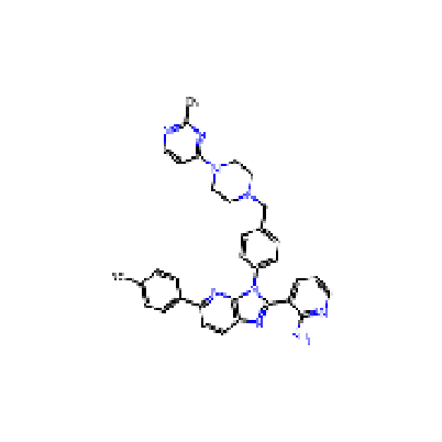 N#Cc1ccc(-c2ccc3nc(-c4cccnc4N)n(-c4ccc(CN5CCN(c6ccnc(C#N)n6)CC5)cc4)c3n2)cc1